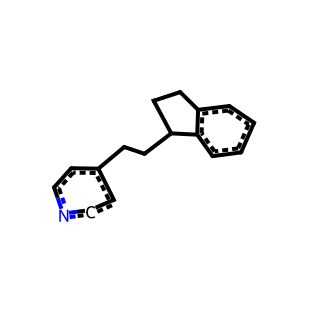 c1ccc2c(c1)CCC2CCc1ccncc1